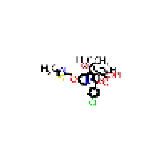 Cc1csc(COc2ccn3c(C(=O)c4ccc(Cl)cc4)c(CC(C)(C)C(=O)O)c(C(=O)C(C)(C)C)c3c2)n1